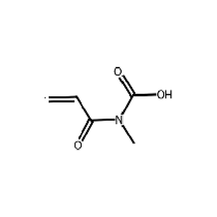 [CH]=CC(=O)N(C)C(=O)O